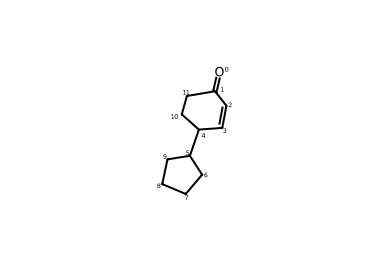 O=C1C=CC(C2CCCC2)CC1